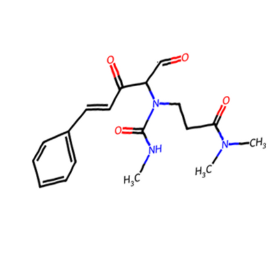 CNC(=O)N(CCC(=O)N(C)C)C([C]=O)C(=O)C=Cc1ccccc1